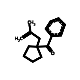 C=C(C)CC1(C(=O)c2ccccc2)CCCC1